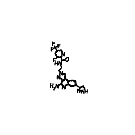 Nc1nc2cc(-c3cc[nH]n3)ccc2c2cn(CCNC(=O)c3ncc(C(F)(F)F)cc3F)nc12